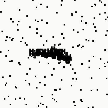 Cc1c(C(=O)Nc2ccc(OCOCC[Si](C)(C)C)cc2)cc(OC(=O)c2ccc([N+](=O)[O-])cc2)n1C